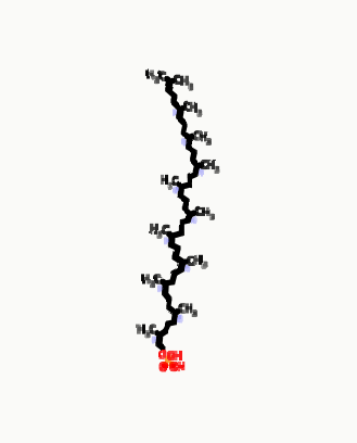 CC(C)=CCC/C(C)=C/CC/C(C)=C/CC/C(C)=C\CC/C(C)=C\CC/C(C)=C\CC/C(C)=C\CC/C(C)=C\CC/C(C)=C\CC/C(C)=C\CC/C(C)=C\COP(=O)(O)O